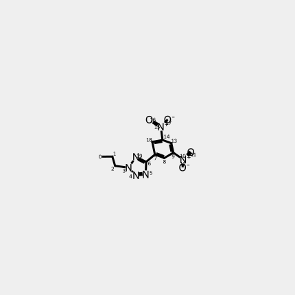 CCCn1nnc(-c2cc([N+](=O)[O-])cc([N+](=O)[O-])c2)n1